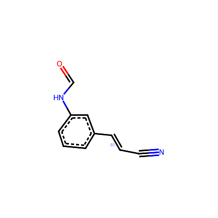 N#C/C=C/c1cccc(NC=O)c1